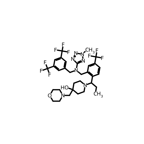 CCC(c1ccc(C(F)(F)F)cc1CN(Cc1cc(C(F)(F)F)cc(C(F)(F)F)c1)c1nnn(C)n1)N1CCC(O)(CN2CCOCC2)CC1